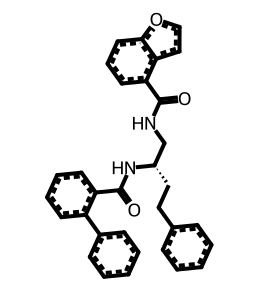 O=C(N[C@@H](CCc1ccccc1)CNC(=O)c1cccc2occc12)c1ccccc1-c1ccccc1